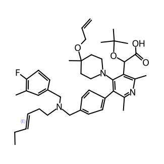 C=CCOC1(C)CCN(c2c(-c3ccc(CN(CC/C=C/CC)Cc4ccc(F)c(C)c4)cc3)c(C)nc(C)c2C(OC(C)(C)C)C(=O)O)CC1